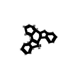 c1ccc2c(c1)Cc1c-2c2[nH]c3ccccc3c2c2ccccc12